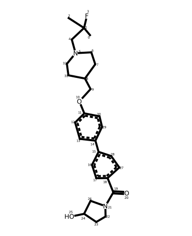 CC(C)(F)CN1CCC(COc2ccc(-c3ccc(C(=O)N4CCC(O)C4)cc3)cc2)CC1